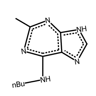 CCCCNc1nc(C)nc2[nH]cnc12